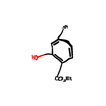 CCCc1ccc(C(=O)OCC)c(O)c1